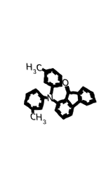 Cc1cccc(N(c2cccc(C)c2)c2cccc3c2C(=O)c2ccccc2-3)c1